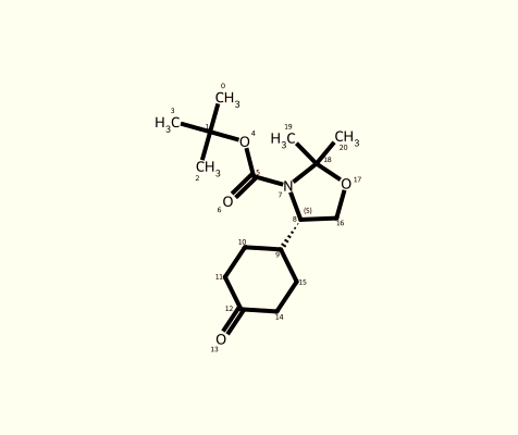 CC(C)(C)OC(=O)N1[C@@H](C2CCC(=O)CC2)COC1(C)C